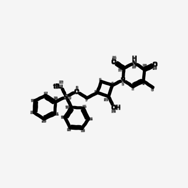 Cc1cn(C2CC(CO[Si](c3ccccc3)(c3ccccc3)C(C)(C)C)C2O)c(=O)[nH]c1=O